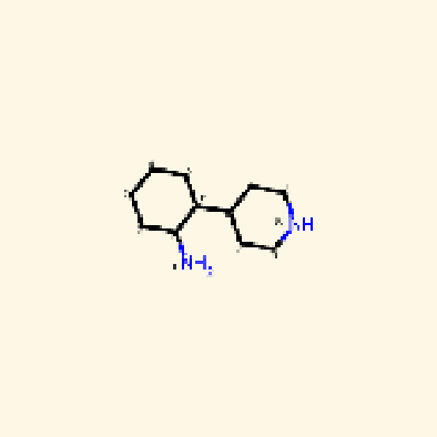 NC1CCCCC1C1CCNCC1